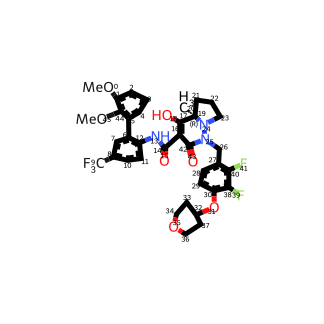 COc1cccc(-c2cc(C(F)(F)F)ccc2NC(=O)C2=C(O)[C@@]3(C)CCCN3N(Cc3ccc(OC4CCOCC4)c(F)c3F)C2=O)c1OC